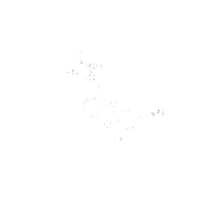 Cn1c(Cc2ccc(Cl)c(Oc3cc(Cl)cc(C#N)c3)c2F)n[nH]c1=O